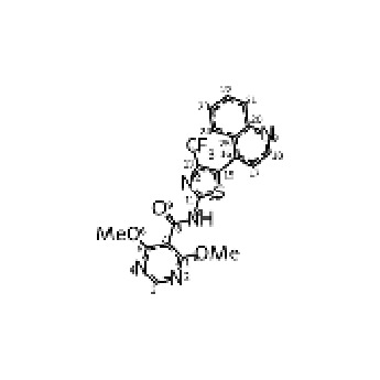 COc1ncnc(OC)c1C(=O)Nc1nc(C(F)(F)F)c(-c2ccnc3ccccc23)s1